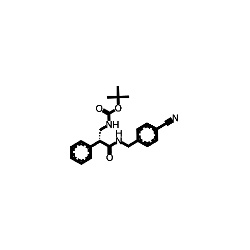 CC(C)(C)OC(=O)NC[C@H](C(=O)NCc1ccc(C#N)cc1)c1ccccc1